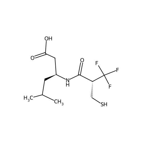 CC(C)C[C@@H](CC(=O)O)NC(=O)[C@@H](CS)C(F)(F)F